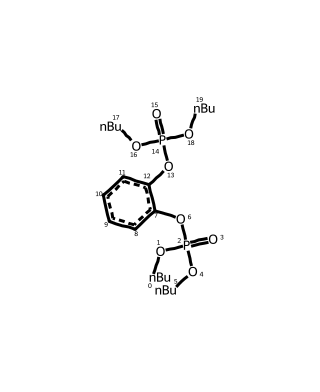 CCCCOP(=O)(OCCCC)Oc1ccccc1OP(=O)(OCCCC)OCCCC